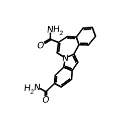 NC(=O)C1=Cn2c(cc3ccc(C(N)=O)cc32)C2=CCC=CC2=C1